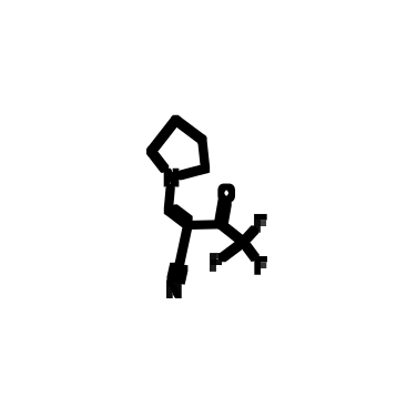 N#C/C(=C/N1CCCC1)C(=O)C(F)(F)F